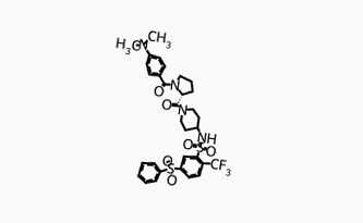 CN(C)c1ccc(C(=O)N2CCC[C@@H]2C(=O)N2CCC(NS(=O)(=O)c3cc(S(=O)(=O)c4ccccc4)ccc3C(F)(F)F)CC2)cc1